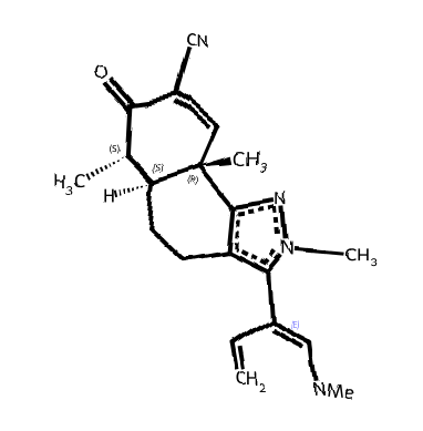 C=C/C(=C\NC)c1c2c(nn1C)[C@@]1(C)C=C(C#N)C(=O)[C@@H](C)[C@@H]1CC2